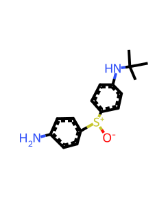 CC(C)(C)Nc1ccc([S+]([O-])c2ccc(N)cc2)cc1